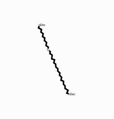 CCCCCCCCCCCCCCCCCCCCCCCCCCCCCCOCCCCCCCCCCCCCCCCCCCC